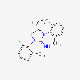 Cc1cccc(Cl)c1N1CC(C)N(c2c(C)cccc2C)C1=N